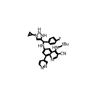 CC(C)(C)CNc1c(C#N)cnc2c(-c3ccnnc3)cc(NC(C3=CN(C4CC4)NN3)c3ccc(F)cc3)cc12